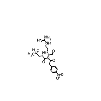 CC(C)C[C@H](N)C(=O)N(C(=O)Cc1ccc([N+](=O)[O-])cc1)[C@H](C=O)CCCNC(=N)N